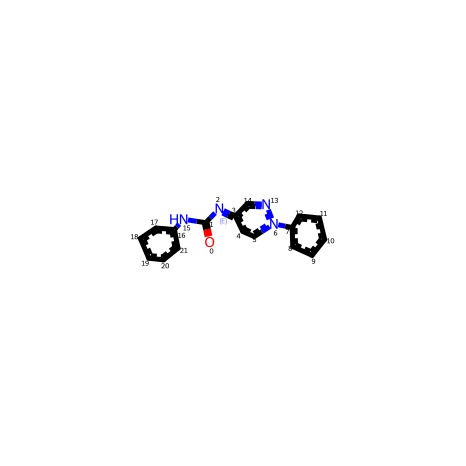 O=C(/N=c1\ccn(-c2ccccc2)nc1)Nc1ccccc1